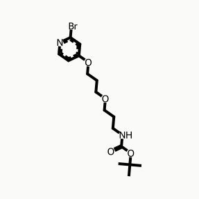 CC(C)(C)OC(=O)NCCCOCCCOc1ccnc(Br)c1